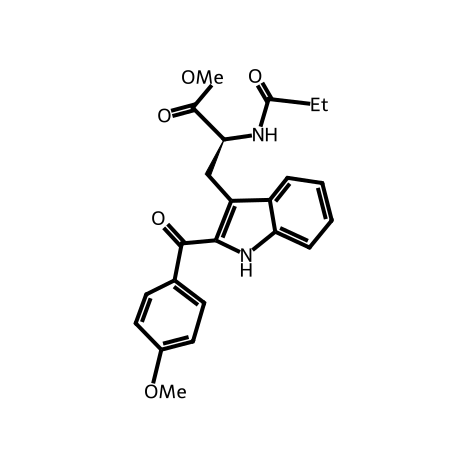 CCC(=O)N[C@@H](Cc1c(C(=O)c2ccc(OC)cc2)[nH]c2ccccc12)C(=O)OC